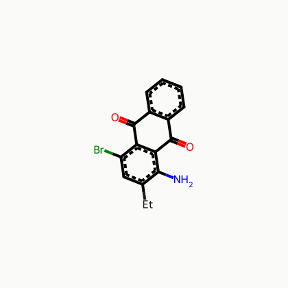 CCc1cc(Br)c2c(c1N)C(=O)c1ccccc1C2=O